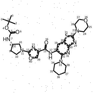 CC(C)(C)OC(=O)N[C@H]1CCN(c2nc(C(=O)Nc3cc4sc(N5CCOCC5)nc4nc3N3CCCCC3)co2)C1